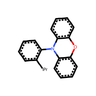 CC(C)c1ccccc1N1c2ccccc2Oc2ccccc21